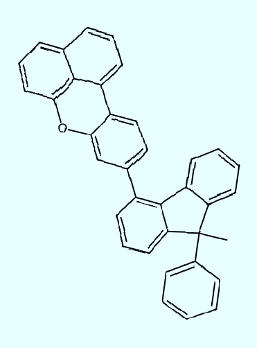 CC1(c2ccccc2)c2ccccc2-c2c(-c3ccc4c(c3)Oc3cccc5cccc-4c35)cccc21